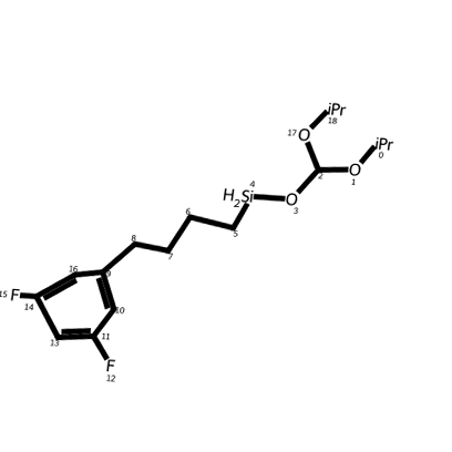 CC(C)OC(O[SiH2]CCCCc1cc(F)cc(F)c1)OC(C)C